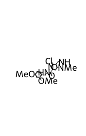 CNc1cc(C(=O)NCc2ccc(OC)cc2OC)nc(Cl)c1C=N